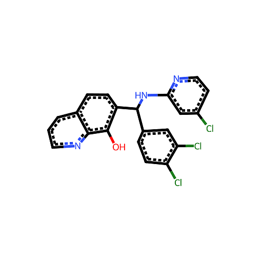 Oc1c(C(Nc2cc(Cl)ccn2)c2ccc(Cl)c(Cl)c2)ccc2cccnc12